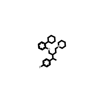 CC(c1ccc(F)cc1)C(CCN1CCCCC1)COc1ccccc1C1CCCCC1